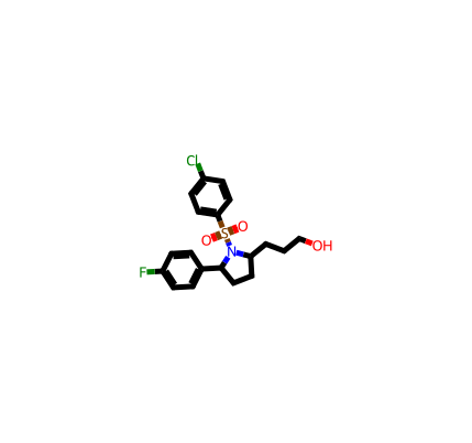 O=S(=O)(c1ccc(Cl)cc1)N1C(CCCO)CCC1c1ccc(F)cc1